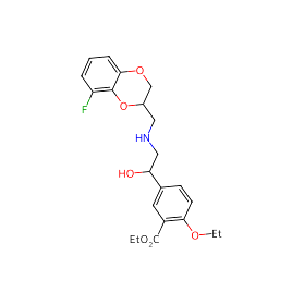 CCOC(=O)c1cc(C(O)CNCC2COc3cccc(F)c3O2)ccc1OCC